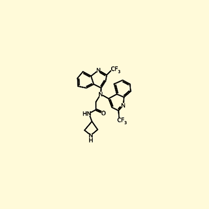 O=C(CN(c1cc(C(F)(F)F)nc2ccccc12)c1cc(C(F)(F)F)nc2ccccc12)NC1CNC1